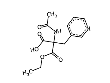 CCOC(=O)C(Cc1cccnc1)(NC(C)=O)C(=O)O